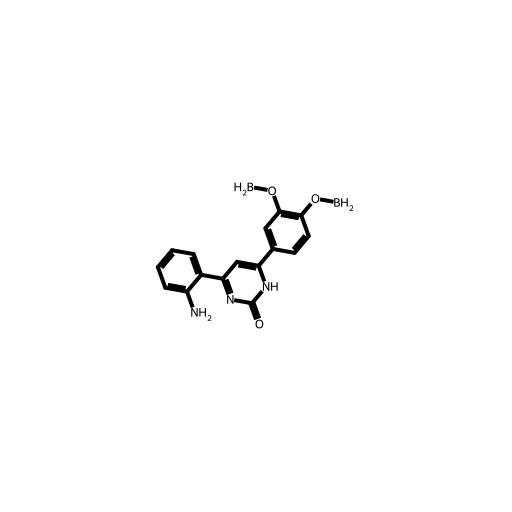 BOc1ccc(-c2cc(-c3ccccc3N)nc(=O)[nH]2)cc1OB